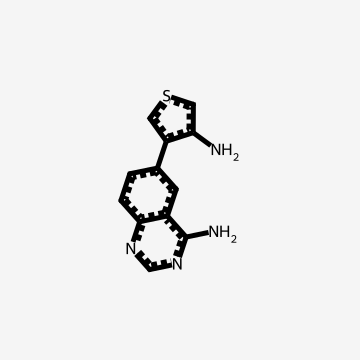 Nc1cscc1-c1ccc2ncnc(N)c2c1